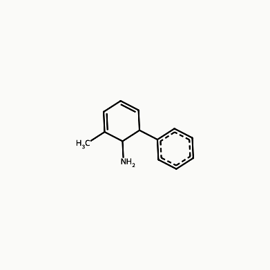 CC1=CC=CC(c2ccccc2)C1N